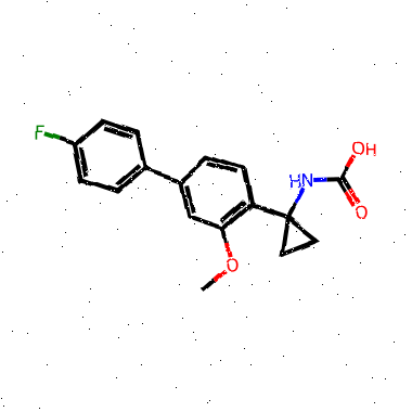 COc1cc(-c2ccc(F)cc2)ccc1C1(NC(=O)O)CC1